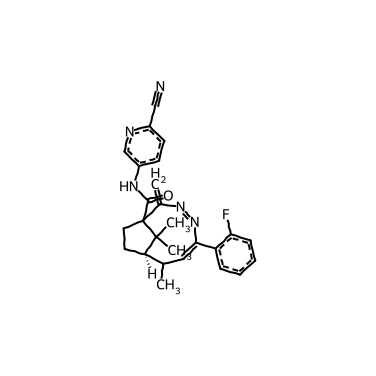 C=C1/N=N\C(c2ccccc2F)=C/C(C)[C@H]2CCC1(C(=O)Nc1ccc(C#N)nc1)C2(C)C